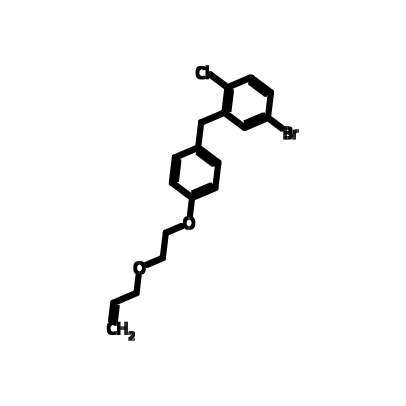 C=CCOCCOc1ccc(Cc2cc(Br)ccc2Cl)cc1